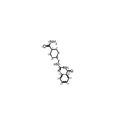 NC(=O)C1CCC(CNc2nc3ccccc3c(=O)[nH]2)CC1